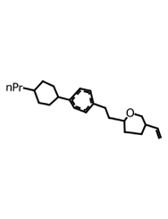 C=CC1CCC(CCc2ccc(C3CCC(CCC)CC3)cc2)OC1